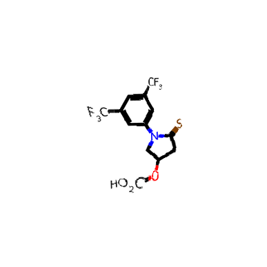 O=C(O)OC1CC(=S)N(c2cc(C(F)(F)F)cc(C(F)(F)F)c2)C1